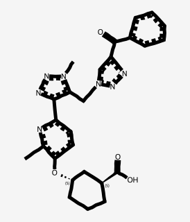 Cc1nc(-c2nnn(C)c2Cn2cc(C(=O)c3ccccc3)nn2)ccc1O[C@H]1CCC[C@H](C(=O)O)C1